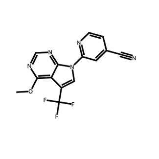 COc1ncnc2c1c(C(F)(F)F)cn2-c1cc(C#N)ccn1